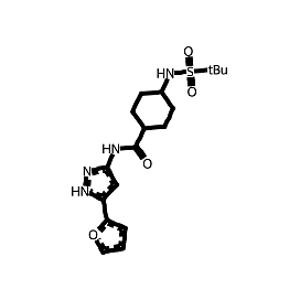 CC(C)(C)S(=O)(=O)NC1CCC(C(=O)Nc2cc(-c3ccco3)[nH]n2)CC1